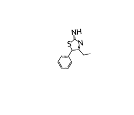 CCC1=NC(=N)SC1c1ccccc1